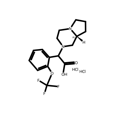 Cl.Cl.O=C(O)C(c1ccccc1OC(F)(F)F)N1CCN2CCC[C@@H]2C1